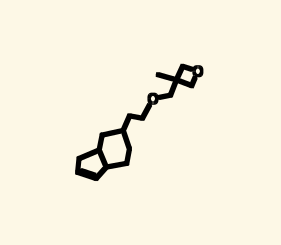 CC1(COCCC2CCC3C=CCC3C2)COC1